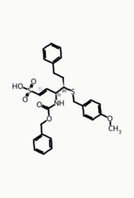 COc1ccc(CS[C@H](CCc2ccccc2)[C@H](/C=C/S(=O)(=O)O)NC(=O)OCc2ccccc2)cc1